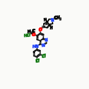 COc1cc2c(Nc3ccc(Cl)c(Cl)c3)ncnc2cc1O[C@@H]1C[C@@H]2CN(C)C[C@@H]2C1.Cl